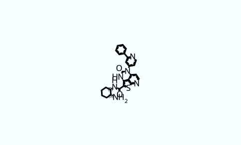 N[C@H]1CCCC[C@H]1NC(=O)c1sc2nccc3c2c1NC(=O)N3c1ccnc(-c2ccccc2)c1